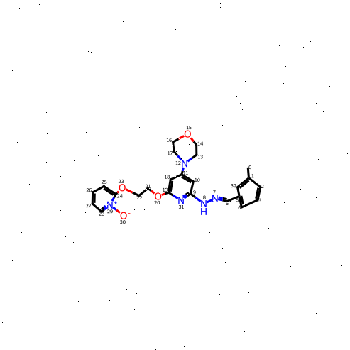 Cc1cccc(C=NNc2cc(N3CCOCC3)cc(OCCOc3cccc[n+]3[O-])n2)c1